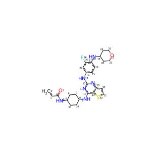 C=CC(=O)N[C@H]1CC[C@@H](Nc2nc(Nc3ccc(NC4CCOCC4)c(F)c3)nc3ccsc23)CC1